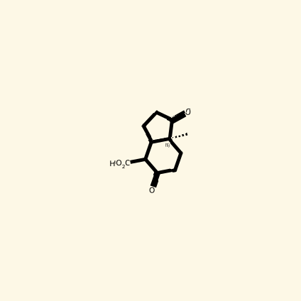 C[C@]12CCC(=O)C(C(=O)O)C1CCC2=O